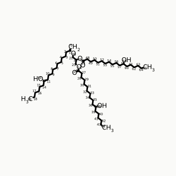 C=C(CCCCCCCCCCC(O)CCCCCC)OCC(COC(=O)CCCCCCCCCCC(O)CCCCCC)OC(=O)CCCCCCCCCCC(O)CCCCCC